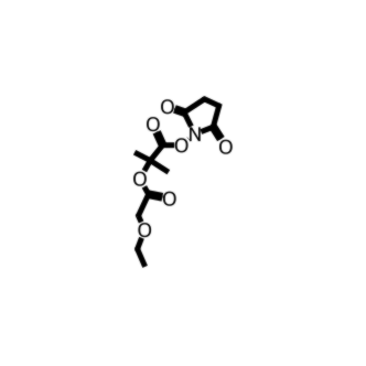 CCOCC(=O)OC(C)(C)C(=O)ON1C(=O)CCC1=O